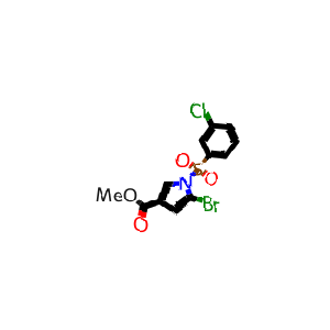 COC(=O)c1cc(Br)n(S(=O)(=O)c2cccc(Cl)c2)c1